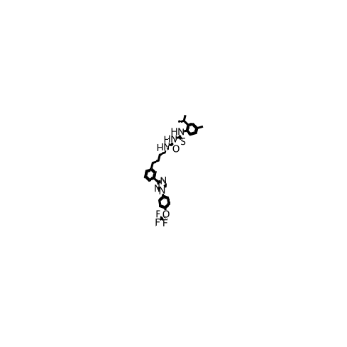 Cc1ccc(NC(=S)NC(=O)NCCCCc2cccc(-c3ncn(-c4ccc(OC(F)(F)F)cc4)n3)c2)c(C(C)C)c1